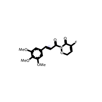 COc1cc(/C=C/C(=O)N2OCC=C(F)C2=O)cc(OC)c1OC